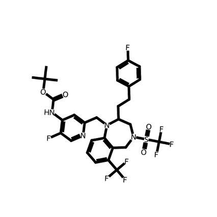 CC(C)(C)OC(=O)Nc1cc(CN2c3cccc(C(F)(F)F)c3CN(S(=O)(=O)C(F)(F)F)CC2CCc2ccc(F)cc2)ncc1F